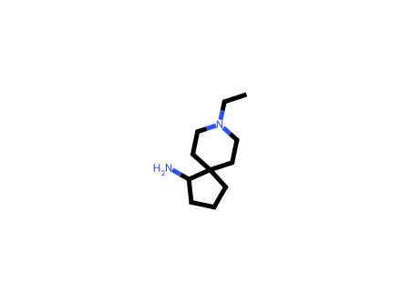 CCN1CCC2(CCCC2N)CC1